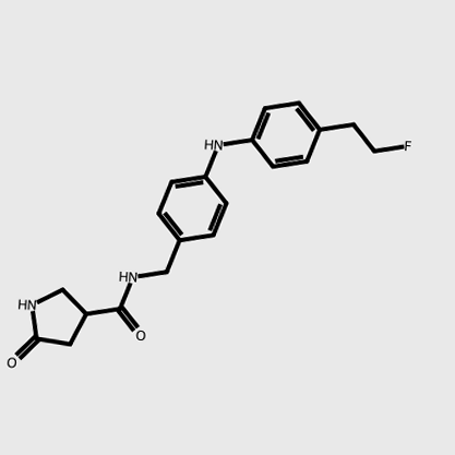 O=C1CC(C(=O)NCc2ccc(Nc3ccc(CCF)cc3)cc2)CN1